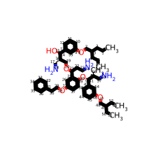 CCCC(CCC)COc1cccc([C@H](O)[C@@H](CN)COC(CCN)c2cc(OCCc3ccccc3)ccc2O[C@@H](c2cccc(OCC(CC)CC)c2)[C@H](C)CN)c1